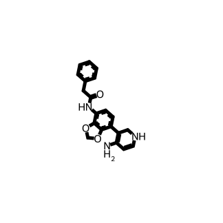 NC1=C(c2ccc(NC(=O)Cc3ccccc3)c3c2OCO3)CNC=C1